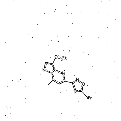 CCOC(=O)c1cnn2c(C)cc(-c3noc(C(C)C)n3)nc12